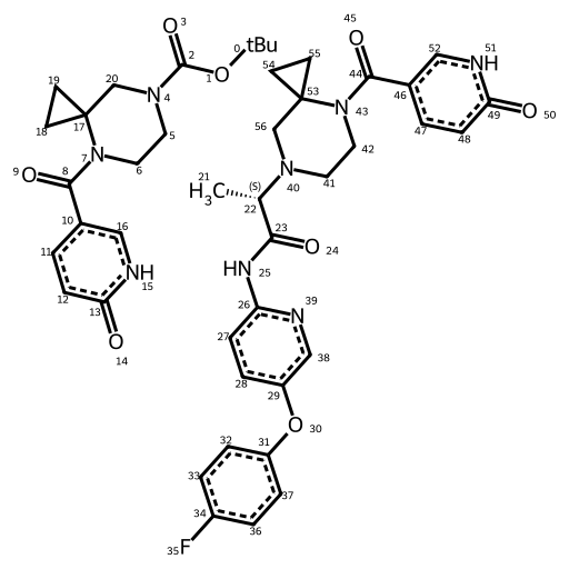 CC(C)(C)OC(=O)N1CCN(C(=O)c2ccc(=O)[nH]c2)C2(CC2)C1.C[C@@H](C(=O)Nc1ccc(Oc2ccc(F)cc2)cn1)N1CCN(C(=O)c2ccc(=O)[nH]c2)C2(CC2)C1